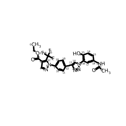 CCOC(=O)c1cnn(-c2ccc(-c3cn(-c4cc(NC(C)=O)ccc4O)nn3)cc2)c1C(F)(F)F